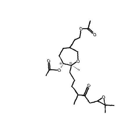 CC(=O)OCCC1CC[C@@H](OC(C)=O)[C@](C)(CCCC(C)C(=O)CC2OC2(C)C)OC1